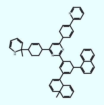 CC12C=CC=CC1C(C1=CC(c3cccc4ccccc34)CC(c3nc(C4C=CC(c5ccccn5)=CC4)cc(C4C=CC(C5(C)C=CC=CN5)CC4)n3)=C1)=CC=C2